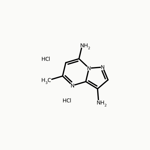 Cc1cc(N)n2ncc(N)c2n1.Cl.Cl